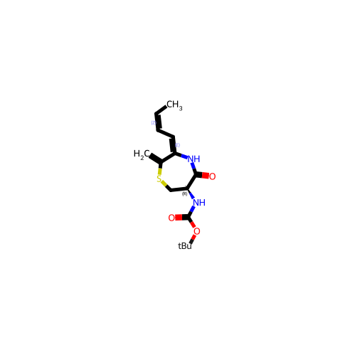 C=C1SC[C@H](NC(=O)OC(C)(C)C)C(=O)N/C1=C/C=C\C